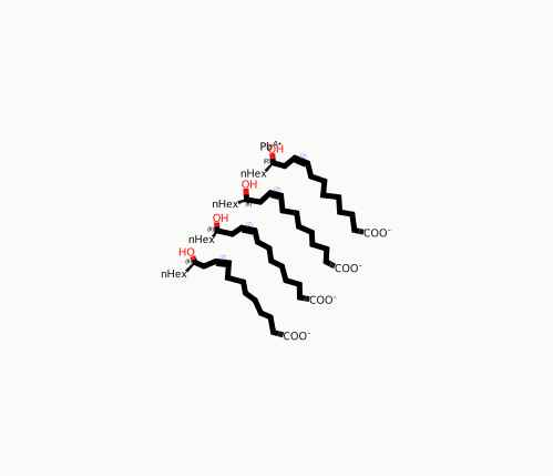 CCCCCC[C@@H](O)C/C=C\CCCCCCCC(=O)[O-].CCCCCC[C@@H](O)C/C=C\CCCCCCCC(=O)[O-].CCCCCC[C@@H](O)C/C=C\CCCCCCCC(=O)[O-].CCCCCC[C@@H](O)C/C=C\CCCCCCCC(=O)[O-].[Pb+4]